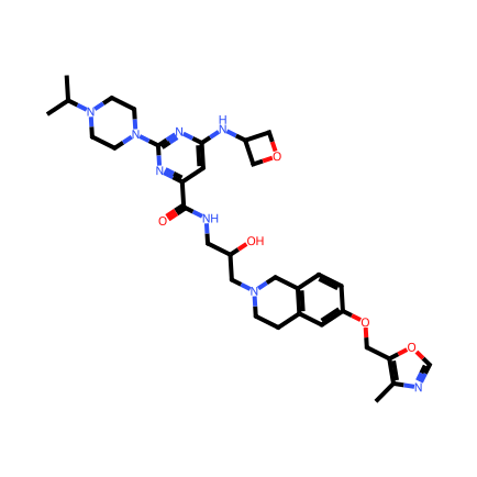 Cc1ncoc1COc1ccc2c(c1)CCN(CC(O)CNC(=O)c1cc(NC3COC3)nc(N3CCN(C(C)C)CC3)n1)C2